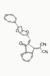 N#CC(C#N)=C1/C(=C/c2cc3oc(-c4ccccc4)cc3o2)C(=O)c2ccccc21